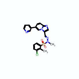 Cc1c(Cl)cccc1S(=O)(=O)N(C)/N=C/c1cnc2ccc(-c3cccnc3)cn12